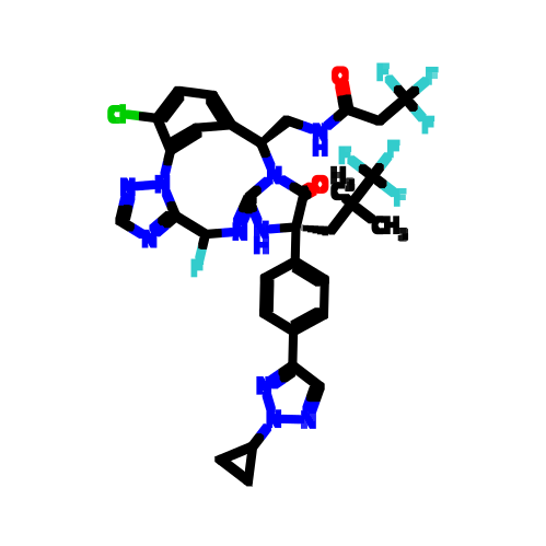 CC(C)(C[C@]1(c2ccc(-c3cnn(C4CC4)n3)cc2)N/C2=N\C(F)c3ncnn3-c3cc(ccc3Cl)[C@@H](CNC(=O)CC(F)(F)F)N2C1=O)C(F)(F)F